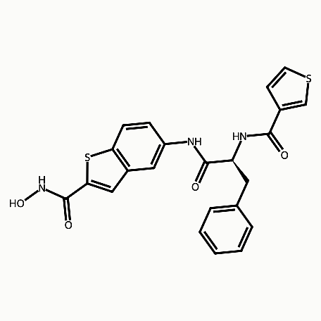 O=C(N[C@@H](Cc1ccccc1)C(=O)Nc1ccc2sc(C(=O)NO)cc2c1)c1ccsc1